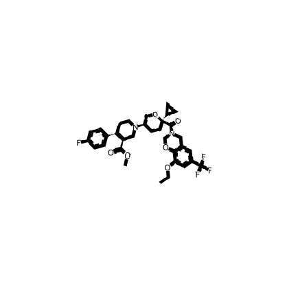 CCOc1cc(C(F)(F)F)cc2c1OCN(C(=O)[C@@]1(C3CC3)CC[C@@H](N3CC[C@@H](c4ccc(F)cc4)[C@H](C(=O)OC)C3)CO1)C2